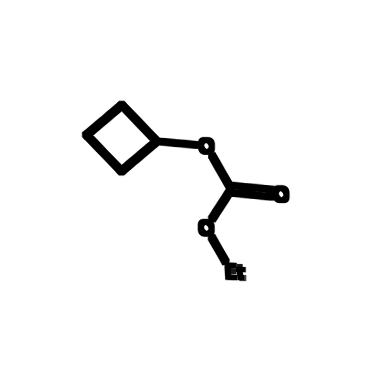 [CH2]COC(=O)OC1CCC1